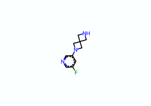 Fc1cncc(N2CC3(CNC3)C2)c1